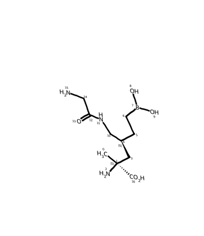 C[C@](N)(C[C@H](CCB(O)O)CNC(=O)CN)C(=O)O